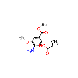 CC(C)(C)OC(=O)c1ccc(N)c(OC(C)(C)C)c1.CCC(=O)O